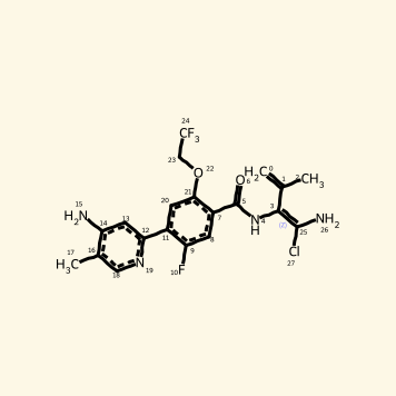 C=C(C)/C(NC(=O)c1cc(F)c(-c2cc(N)c(C)cn2)cc1OCC(F)(F)F)=C(\N)Cl